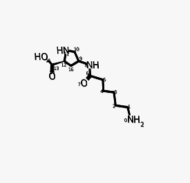 NCCCCCC(=O)NC1CN[C@H](C(=O)O)C1